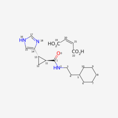 O=C(NCCC1CCCCC1)[C@H]1C[C@@H]1c1c[nH]cn1.O=C(O)/C=C\C(=O)O